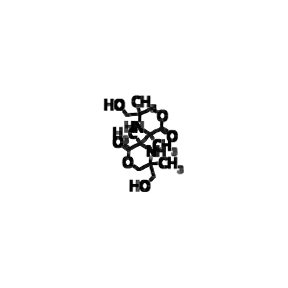 CC1(CO)COC(=O)C(C)(C2(C)NC(C)(CO)COC2=O)N1